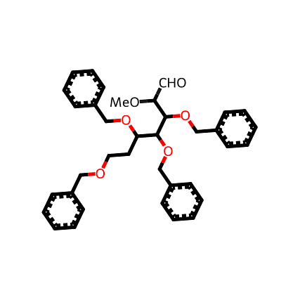 COC(C=O)C(OCc1ccccc1)C(OCc1ccccc1)C(CCOCc1ccccc1)OCc1ccccc1